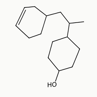 CC(CC1CC=CCC1)C1CCC(O)CC1